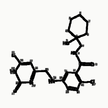 O=C(NCC1(O)CCCCC1)c1cc(NCc2cc(Cl)[nH]c(=O)n2)ccc1Cl